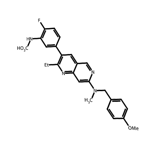 CCc1nc2cc(N(C)Cc3ccc(OC)cc3)ncc2cc1-c1ccc(F)c(NC(=O)O)c1